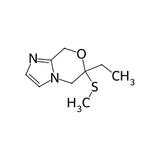 CCC1(SC)Cn2ccnc2CO1